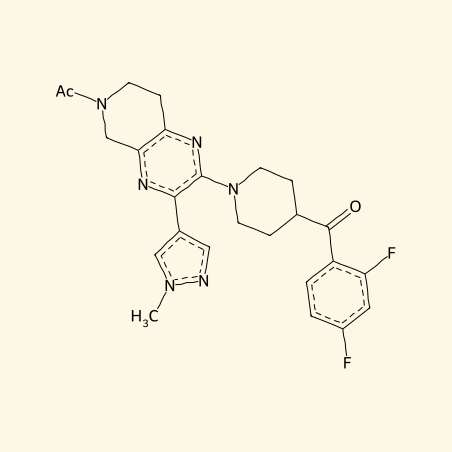 CC(=O)N1CCc2nc(N3CCC(C(=O)c4ccc(F)cc4F)CC3)c(-c3cnn(C)c3)nc2C1